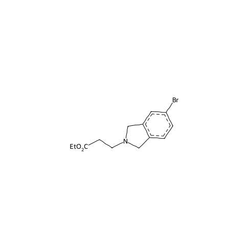 CCOC(=O)CCN1Cc2ccc(Br)cc2C1